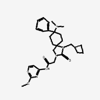 COc1nccc(NC(=O)CN2CC3(CCC(c4ccccc4)(N(C)C)CC3)N(CC3CCC3)C2=O)n1